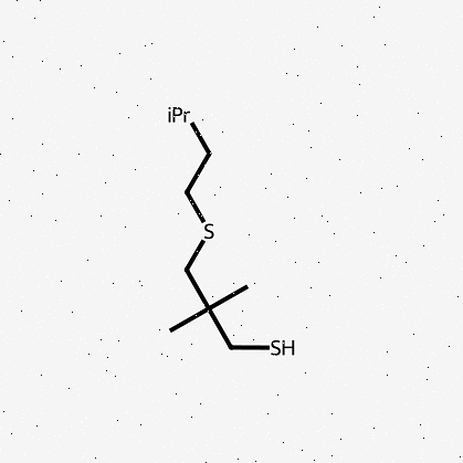 CC(C)CCSCC(C)(C)CS